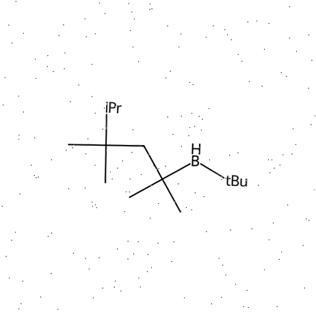 CC(C)C(C)(C)CC(C)(C)BC(C)(C)C